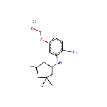 CCOCOc1ccc(N)c(NC2CC(C)CC(C)(C)C2)c1